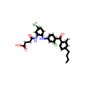 CCCCc1ccc(C(=O)c2ccc(Nc3ccc(Br)cc3NC(=O)CCC(=O)O)cc2Cl)c(C)c1